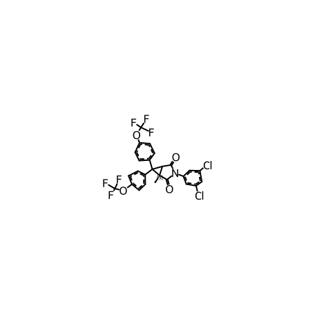 C[C@]12C(=O)N(c3cc(Cl)cc(Cl)c3)C(=O)C1C2(c1ccc(OC(F)(F)F)cc1)c1ccc(OC(F)(F)F)cc1